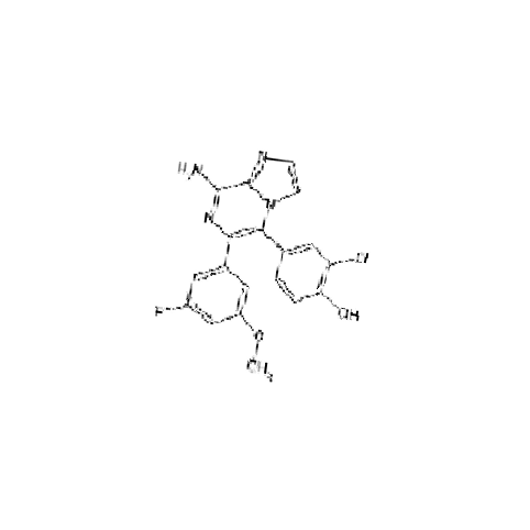 COc1cc(F)cc(-c2nc(N)c3nccn3c2-c2ccc(O)c(Cl)c2)c1